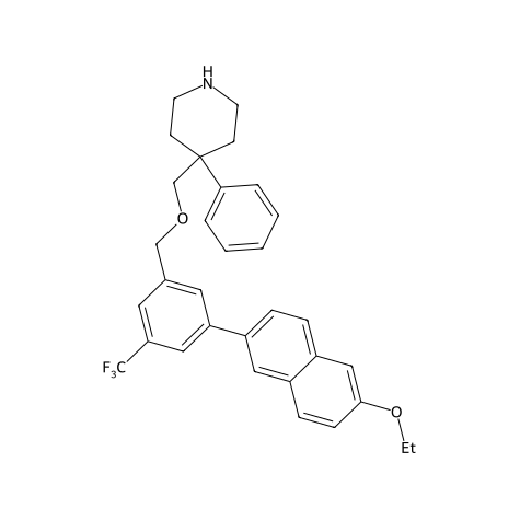 CCOc1ccc2cc(-c3cc(COCC4(c5ccccc5)CCNCC4)cc(C(F)(F)F)c3)ccc2c1